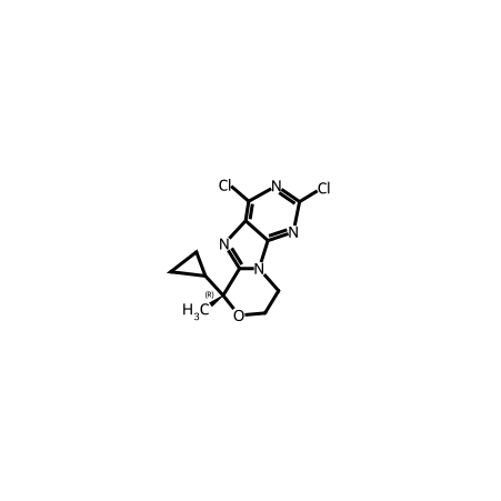 C[C@]1(C2CC2)OCCn2c1nc1c(Cl)nc(Cl)nc12